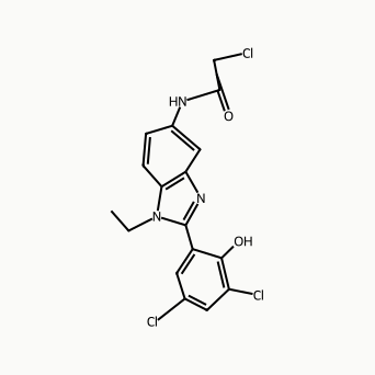 CCn1c(-c2cc(Cl)cc(Cl)c2O)nc2cc(NC(=O)CCl)ccc21